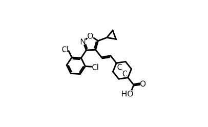 O=C(O)C12CCC(C=Cc3c(-c4c(Cl)cccc4Cl)noc3C3CC3)(CC1)CC2